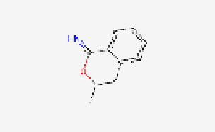 CC1CC2=C=C=CC=C2C(=N)O1